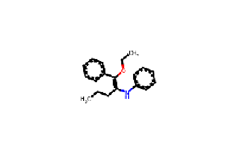 CCCC(Nc1ccccc1)=C(OCC)c1ccccc1